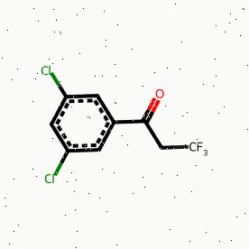 O=C(CC(F)(F)F)c1cc(Cl)cc(Cl)c1